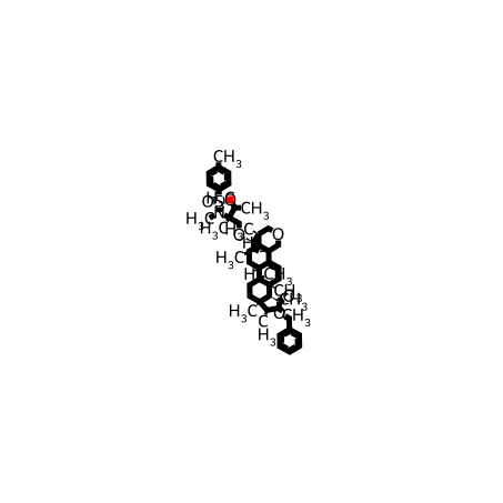 Cc1ccc(S(=O)(=O)N(C)[C@@](C)(CO[C@H]2[C@H](C)C[C@@]34COC[C@@]2(C)[C@@H]3CC[C@H]2C4=CC[C@@]3(C)[C@H](C(=O)OCc4ccccc4)[C@@](C)([C@H](C)C(C)C)CC[C@]23C)C(C)C)cc1